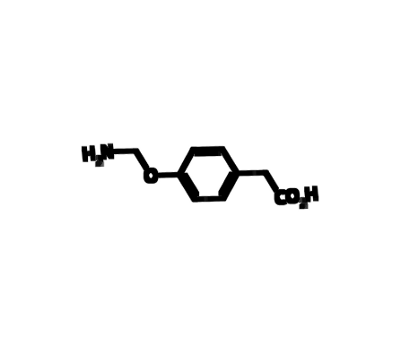 NCOc1ccc(CC(=O)O)cc1